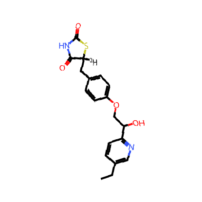 [2H]C1(Cc2ccc(OCC(O)c3ccc(CC)cn3)cc2)SC(=O)NC1=O